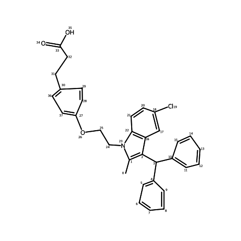 Cc1c(C(c2ccccc2)c2ccccc2)c2cc(Cl)ccc2n1CCOc1ccc(CCC(=O)O)cc1